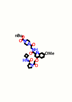 CCCCOC(=O)N1CCN(C(=O)CNC(=O)c2cc(OCC(=O)N3CCC[C@H]3C(=O)NC3CCC3)c3ccc(OC)cc3n2)CC1